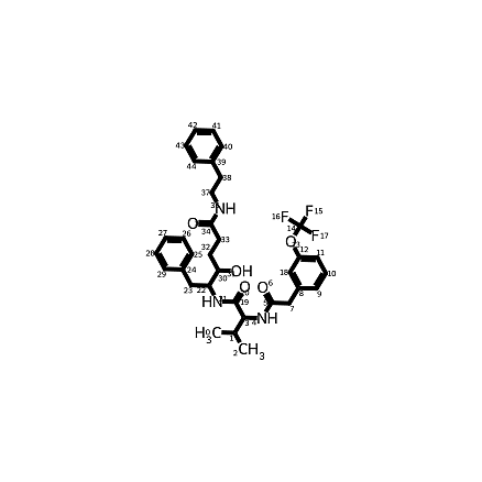 CC(C)C(NC(=O)Cc1cccc(OC(F)(F)F)c1)C(=O)NC(Cc1ccccc1)C(O)CCC(=O)NCCc1ccccc1